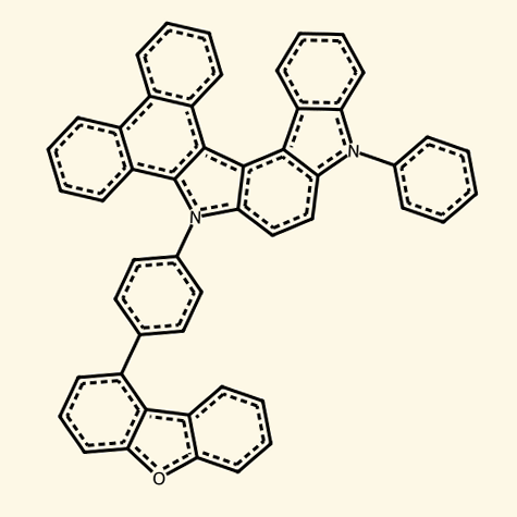 c1ccc(-n2c3ccccc3c3c4c5c6ccccc6c6ccccc6c5n(-c5ccc(-c6cccc7oc8ccccc8c67)cc5)c4ccc32)cc1